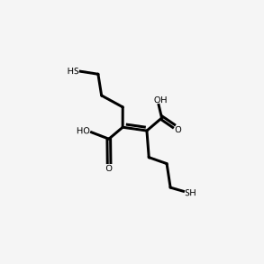 O=C(O)C(CCCS)=C(CCCS)C(=O)O